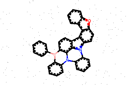 c1ccc(B2c3ccccc3N3c4ccccc4-n4c5ccc6oc7ccccc7c6c5c5ccc2c3c54)cc1